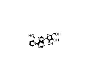 OC[C@H]1CCCN1c1ncnc2c1ncn2[C@@H]1O[C@H](CO)C(O)C1O